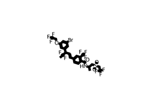 CC(CS(=O)(=O)CC(F)(F)F)NC(=O)c1ccc(/C=C/C(c2cc(Br)cc(OCC(F)(F)F)c2)C(C)(F)F)cc1C(F)(F)F